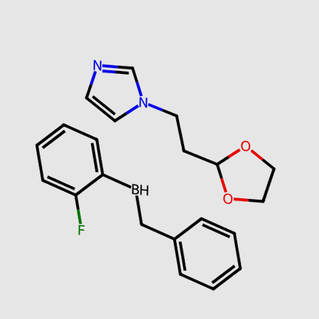 Fc1ccccc1BCc1ccccc1.c1cn(CCC2OCCO2)cn1